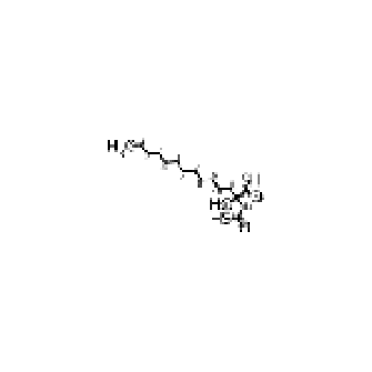 CCCCCCCCCCCCC(O)(CC(=O)S)C(=O)S